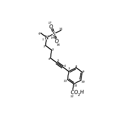 CN(CCCC#Cc1cccc(C(=O)O)c1)S(C)(=O)=O